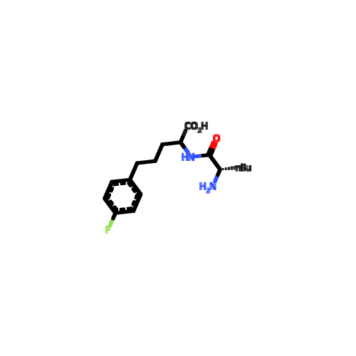 CCCC[C@H](N)C(=O)NC(CCCc1ccc(F)cc1)C(=O)O